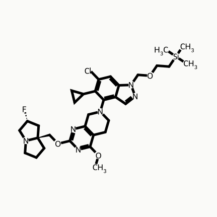 COc1nc(OC[C@@]23CCCN2C[C@H](F)C3)nc2c1CCN(c1c(C3CC3)c(Cl)cc3c1cnn3COCC[Si](C)(C)C)C2